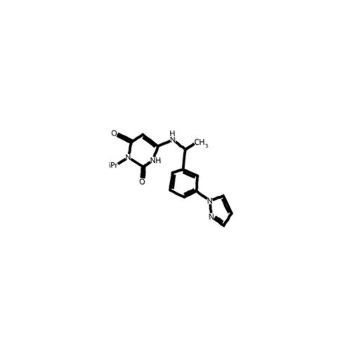 CC(Nc1cc(=O)n(C(C)C)c(=O)[nH]1)c1cccc(-n2cccn2)c1